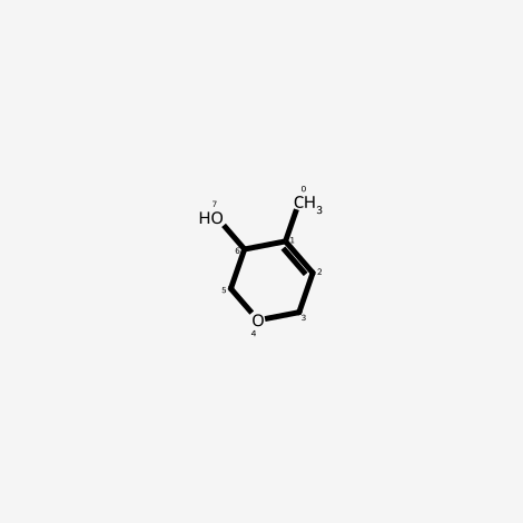 CC1=CCOCC1O